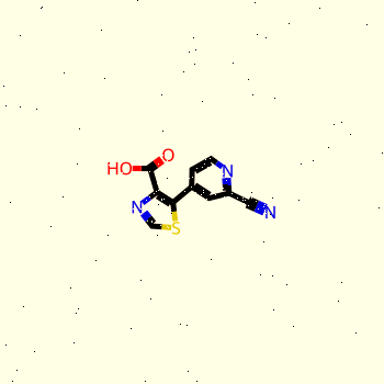 N#Cc1cc(-c2scnc2C(=O)O)ccn1